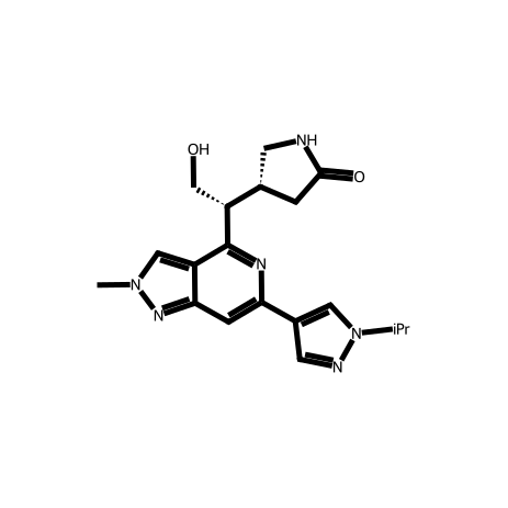 CC(C)n1cc(-c2cc3nn(C)cc3c([C@H](CO)[C@@H]3CNC(=O)C3)n2)cn1